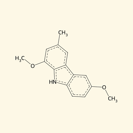 COc1ccc2[nH]c3c(OC)cc(C)cc3c2c1